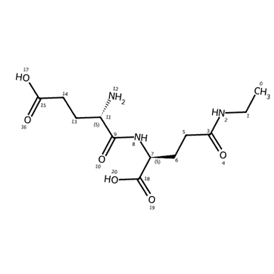 CCNC(=O)CC[C@H](NC(=O)[C@@H](N)CCC(=O)O)C(=O)O